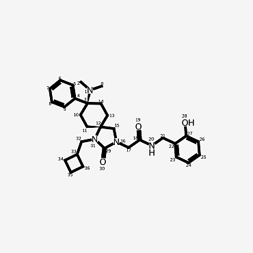 CN(C)[C@]1(c2ccccc2)CC[C@@]2(CC1)CN(CC(=O)NCc1ccccc1O)C(=O)N2CC1CCC1